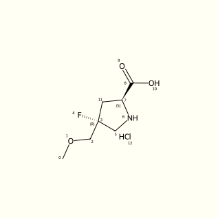 COC[C@]1(F)CN[C@H](C(=O)O)C1.Cl